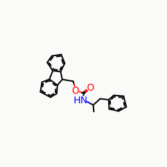 CC(Cc1ccccc1)NC(=O)OCC1c2ccccc2-c2ccccc21